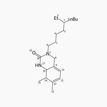 CCCCC(CC)CCCCN1CC2=CC=C(C)C(C)C2NC1=O